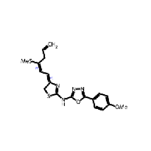 C=CC/C(=C\C=C1/CSC(Nc2nnc(-c3ccc(OC)cc3)o2)=N1)SC